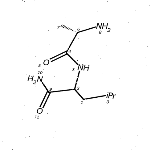 CC(C)CC(NC(=O)[C@H](C)N)C(N)=O